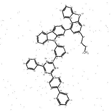 CCCCc1cc(-c2ccc3c4ccccc4n(-c4cccc(-c5nc(-c6ccccc6)nc(-c6ccc(-c7ccccc7)cc6)n5)c4)c3c2)c2c(c1)oc1ccccc12